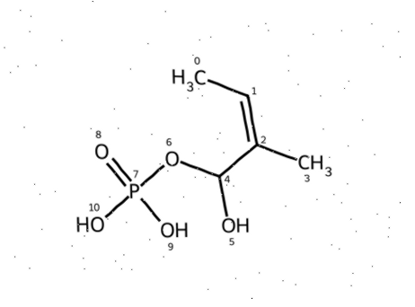 C/C=C(/C)C(O)OP(=O)(O)O